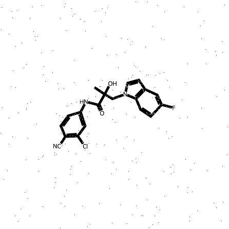 CC(O)(Cn1ccc2cc(F)ccc21)C(=O)Nc1ccc(C#N)c(Cl)c1